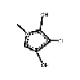 Cn1cc(O)c(Cl)c1O